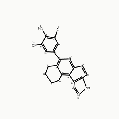 Oc1c(Cl)cc(-c2nc3ccc4[nH]ncc4c3c3c2CCCC3)cc1Cl